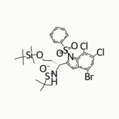 CC(C)(C)[S@+]([O-])N[C@H](CCO[Si](C)(C)C(C)(C)C)c1cc2c(Br)cc(Cl)c(Cl)c2n1S(=O)(=O)c1ccccc1